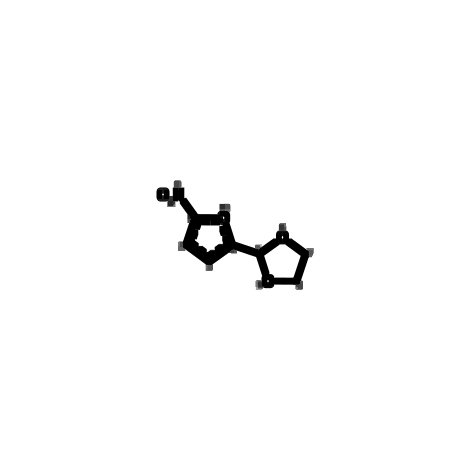 O=[N+]([O-])c1ccc(C2OCCO2)o1